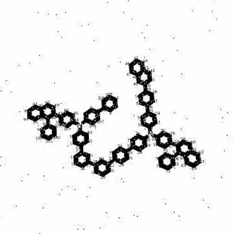 c1ccc(-c2ccc(N(c3ccc(-c4cccc(-c5cccc(-c6ccc(-c7ccc(N(c8ccc(-c9ccc(-c%10ccc%11ccccc%11c%10)cc9)cc8)c8ccc(-c9ccc%10ccccc%10c9-c9ccccc9)cc8)cc7)cc6)c5)c4)cc3)c3ccc(-c4ccc5ccccc5c4-c4ccccc4)cc3)cc2)cc1